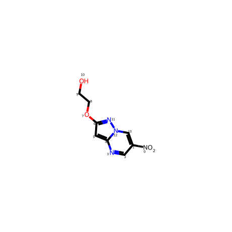 O=[N+]([O-])c1cnc2cc(OCCO)nn2c1